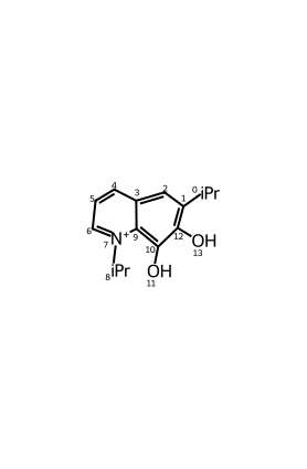 CC(C)c1cc2ccc[n+](C(C)C)c2c(O)c1O